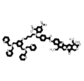 CCc1c2c(nc3ccc(OC(=O)c4ccc(CN(CCCCOc5cc(CN(Cc6ccccn6)Cc6ccccn6)cc(CN(Cc6ccccn6)Cc6ccccn6)c5)c5ccc([N+](=O)[O-])cc5[N+](=O)[O-])cc4)cc13)-c1cc3c(c(=O)n1C2)COC(=O)[C@]3(O)CC